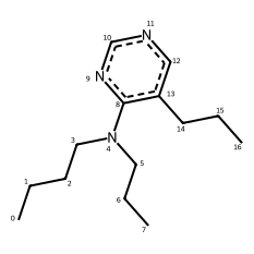 CCCCN(CCC)c1ncncc1CCC